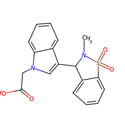 CN1C(c2cn(CC(=O)O)c3ccccc23)c2ccccc2S1(=O)=O